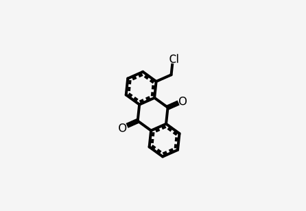 O=C1c2ccccc2C(=O)c2c(CCl)cccc21